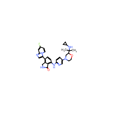 CC(C)(NC1CC1)C1CN(c2ccc(Nc3ccc(-c4cnc5cc(F)ccn45)c4c3C(=O)NC4)nc2)CCO1